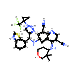 CC1(C)COCCC1Nc1c(C#N)cnc2c(C#N)cc(N[C@H](c3cn(C4(C(F)(F)F)CC4)nn3)c3cccc4ncsc34)cc12